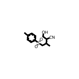 Cc1ccc(S(=O)(=O)CC(C)C(C#N)CO)cc1